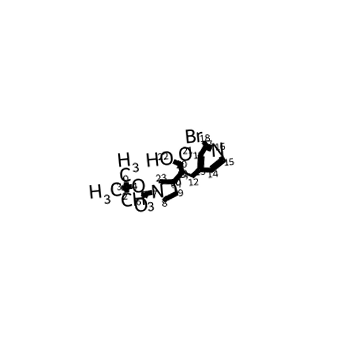 CC(C)(C)OC(=O)N1CC[C@H]([C@H](Cc2ccnc(Br)c2)C(=O)O)C1